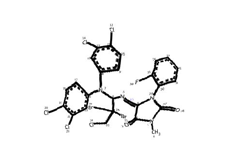 CN1C(=O)/C(=N\C(N(c2ccc(Cl)c(Cl)c2)c2ccc(Cl)c(Cl)c2)C(Br)(Br)CCl)N(c2ccccc2F)C1=O